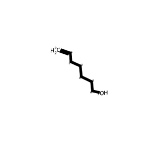 C=CCCCCCO